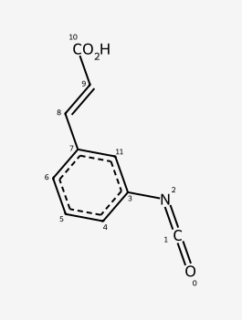 O=C=Nc1cccc(C=CC(=O)O)c1